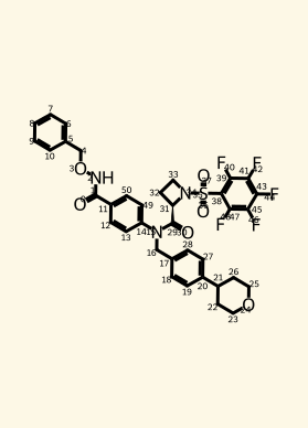 O=C(NOCc1ccccc1)c1ccc(N(Cc2ccc(C3CCOCC3)cc2)C(=O)[C@H]2CCN2S(=O)(=O)c2c(F)c(F)c(F)c(F)c2F)cc1